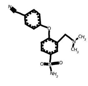 CN(C)Cc1cc(S(N)(=O)=O)ccc1Oc1ccc(C#N)cc1